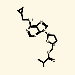 CC(C)C(=O)OC[C@@H]1CC[C@H](n2cnc3c(NCC4CC4)ncnc32)O1